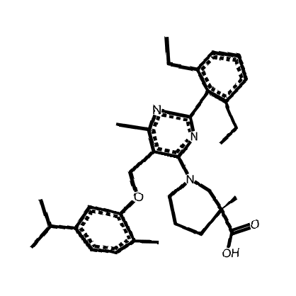 CCc1cccc(CC)c1-c1nc(C)c(COc2cc(C(C)C)ccc2C)c(N2CCC[C@@](C)(C(=O)O)C2)n1